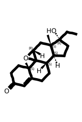 CC[C@@]1(O)CC[C@H]2[C@@H]3CCC4=CC(=O)CC[C@]4(C)C34O[C@@H]4C[C@@]21C